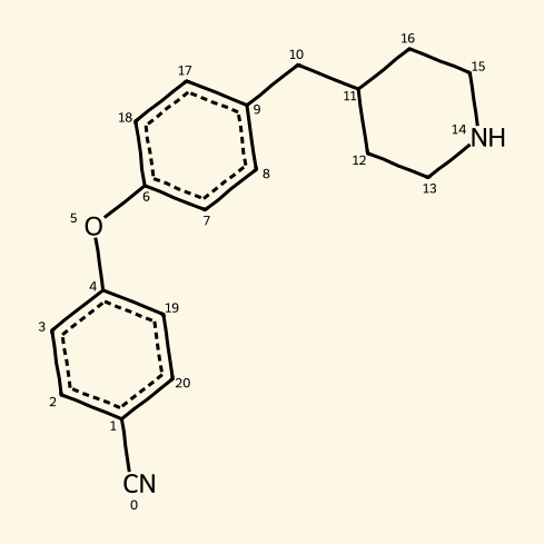 N#Cc1ccc(Oc2ccc(CC3CCNCC3)cc2)cc1